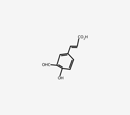 O=Cc1cc(C=CC(=O)O)ccc1O